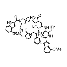 COc1cccc2[nH]c(C(=O)NC(CC(C)C)C(=O)NC(CC3CCNC3=O)C(C#N)NC(CN3CC[C@@H](C[C@@H](C#N)NC[C@@H]4CC5(CCC5)CN4C(=O)c4cc5c(OC)cccc5[nH]4)C3=O)c3ccccc3)cc12